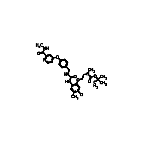 CNC(=O)c1cc(Oc2ccc(CNC(=O)Nc3cc(C)c(Cl)cc3OCCN(C)C(=O)OC(C)(C)C)cc2)ccn1